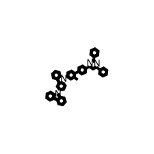 Cc1cc(-n2c3ccccc3c3cc(-n4c5ccccc5c5ccccc54)ccc32)ccc1-c1ccc(-c2cc(-c3ccccc3)nc(-c3ccccc3)n2)cc1